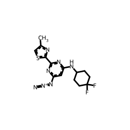 Cc1csc(-c2nc(N=[N+]=[N-])cc(NC3CCC(F)(F)CC3)n2)n1